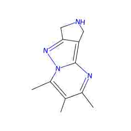 Cc1nc2c3c(nn2c(C)c1C)CNC3